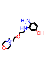 C[N+]1(CCOCCNc2cc(O)ccc2N)CCOCC1